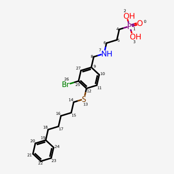 O=P(O)(O)CCCNCc1ccc(SCCCCCc2ccccc2)c(Br)c1